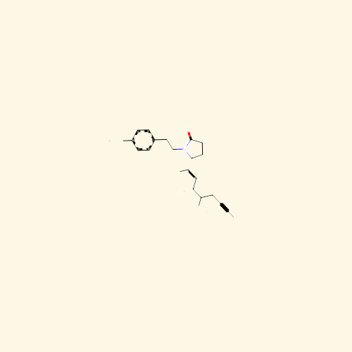 CC#CCC(C)[C@H](O)/C=C(\C)[C@H]1CCC(=O)N1CCc1ccc(C(=O)O)cc1